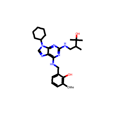 COc1cccc(CNc2nc(NCC(C)C(C)(C)O)nc3c2ncn3C2CCCCC2)c1O